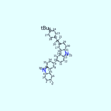 Cc1ccc2c(c1)c1cc(-c3ccc4c(c3)c3cc(C(C)(C)c5ccc(C(C)(C)C)cc5)ccc3n4C)ccc1n2C